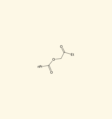 CCCC(=O)OCC(=O)CC